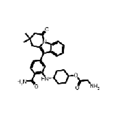 CC1(C)CC(=O)n2c(c(-c3ccc(C(N)=O)c(N[C@H]4CC[C@H](OC(=O)CN)CC4)c3)c3ccccc32)C1